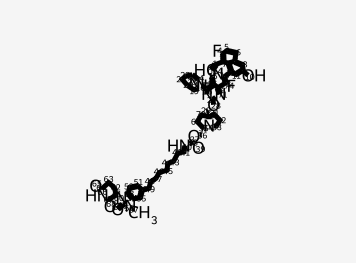 C#Cc1c(F)ccc2cc(O)cc(-c3ncc4c(N5CC6CCC(C5)N6)nc(OC[C@@]56CCCN5[C@H](COC(=O)NCCCCCCCCCc5ccc7c(c5)n(C)c(=O)n7C5CCC(=O)NC5=O)CC6)nc4c3F)c12